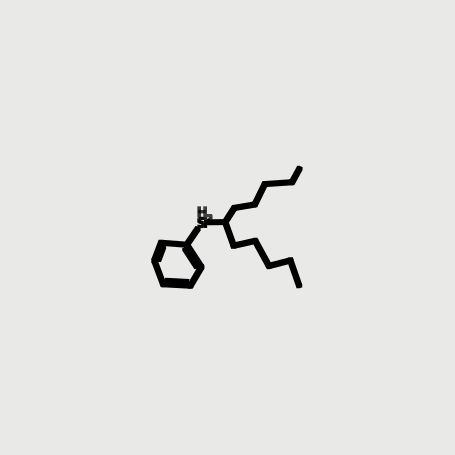 CCCCCC(CCCCC)[SiH2]c1ccccc1